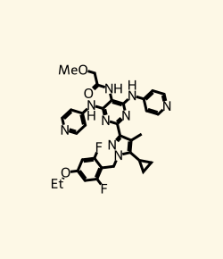 CCOc1cc(F)c(Cn2nc(-c3nc(Nc4ccncc4)c(NC(=O)COC)c(Nc4ccncc4)n3)c(C)c2C2CC2)c(F)c1